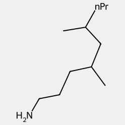 CCCC(C)CC(C)CCCN